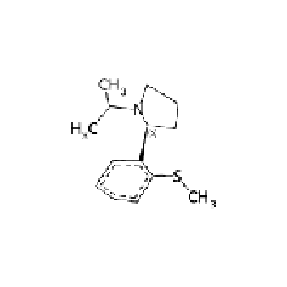 CSc1ccccc1[C@@H]1CCCN1C(C)C